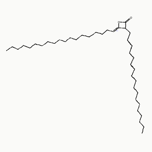 CCCCCCCCCCCCCCCCCC/C=C1\OC(=O)C1CCCCCCCCCCCCCCCCCC